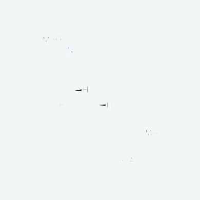 CON=C1CC[C@H]2[C@@H]3CCc4cc(OC(C)=O)c(OC)cc4[C@H]3CC[C@]12C